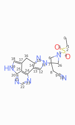 CCS(=O)(=O)N1CC(CC#N)(n2cc3c(n2)Cc2c[nH]c4ncnc-3c24)C1